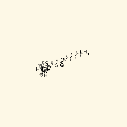 CCCCCCCCOC(=O)CCCC[C@@H]1SC[C@@H]2NC(=O)N[C@@H]21